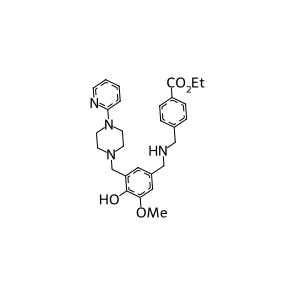 CCOC(=O)c1ccc(CNCc2cc(CN3CCN(c4ccccn4)CC3)c(O)c(OC)c2)cc1